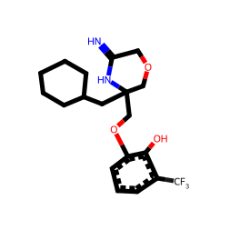 N=C1COCC(COc2cccc(C(F)(F)F)c2O)(CC2CCCCC2)N1